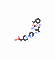 CC(OC(=O)Nc1c(C#N)cnn1-c1ccc(N2CCC(CC(=O)O)CC2)nc1)c1ccccc1